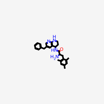 Cc1cc(C)c(CC(N)C(=O)NC2CCNc3ncc(Cc4ccccc4)cc32)c(C)c1